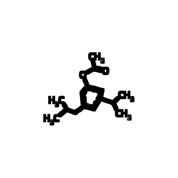 C[C](C)c1cc(CC(C)C)cc(OC(C)=O)c1